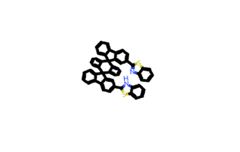 c1ccc2c(c1)NC(c1ccc3c(c1)C1(c4ccccc4-3)c3ccccc3C3(c4ccccc4-c4ccc(-c5nc6ccccc6s5)cc43)c3ccccc31)S2